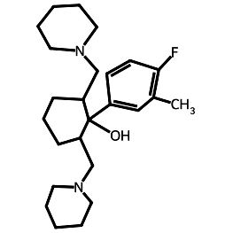 Cc1cc(C2(O)C(CN3CCCCC3)CCCC2CN2CCCCC2)ccc1F